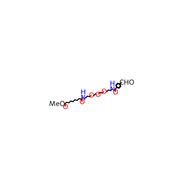 COC(=O)CCCCCCCC(=O)NCCCOCCOCCOCCCNC(=O)c1ccc(C=O)cc1